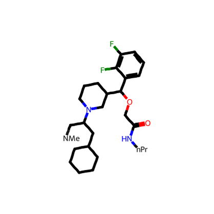 CCCNC(=O)COC(c1cccc(F)c1F)C1CCCN(C(CNC)CC2CCCCC2)C1